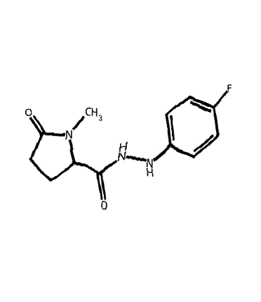 CN1C(=O)CCC1C(=O)NNc1ccc(F)cc1